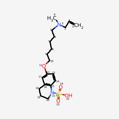 C=CCN(C)CCCCCCOc1ccc2c(c1)CCCN2S(=O)(=O)O